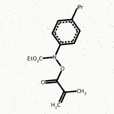 C=C(C)C(=O)ON(C(=O)OCC)c1ccc(C(C)C)cc1